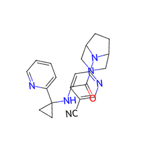 N#Cc1ccc(N2C3CCC2CN(C(=O)CNC2(c4ccccn4)CC2)C3)nc1